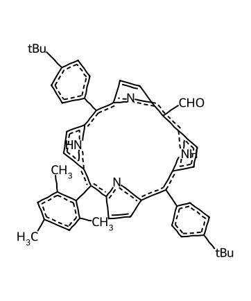 Cc1cc(C)c(-c2c3nc(c(-c4ccc(C(C)(C)C)cc4)c4ccc([nH]4)c(C=O)c4nc(c(-c5ccc(C(C)(C)C)cc5)c5ccc2[nH]5)C=C4)C=C3)c(C)c1